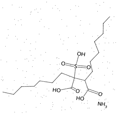 CCCCCCCC(C(=O)O)C(CCCCCCC)(C(=O)O)S(=O)(=O)O.N